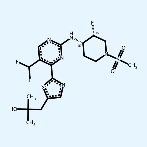 CC(C)(O)Cc1cnc(-c2nc(N[C@H]3CCN(S(C)(=O)=O)C[C@H]3F)ncc2C(F)F)s1